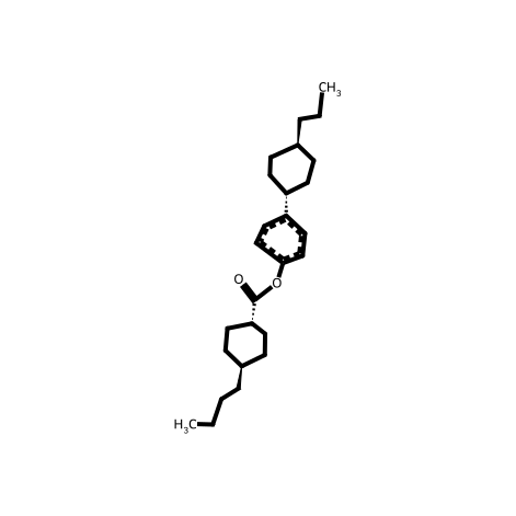 CCCC[C@H]1CC[C@H](C(=O)Oc2ccc([C@H]3CC[C@H](CCC)CC3)cc2)CC1